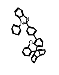 c1ccc(-n2c(-c3ccc(-c4cccc5c4Oc4ccccc4C54c5ccccc5-c5ccccc54)cc3)nc3ccccc32)cc1